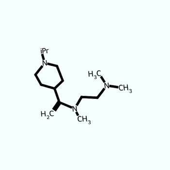 C=C(C1CCN(C(C)C)CC1)N(C)CCN(C)C